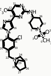 CS(=O)(=O)N1CCC(Nc2ncc(C(F)(F)F)c(-c3cn(-c4ccc(CN5CC6CCC5C6)cc4Cl)cn3)n2)CC1